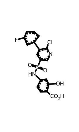 O=C(O)c1ccc(NS(=O)(=O)c2cnc(Cl)c(-c3cccc(F)c3)c2)cc1O